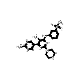 Cc1c(Nc2cccc(S(C)(=O)=O)c2)nc(N2CCOCC2)nc1-c1cnc(N)nc1